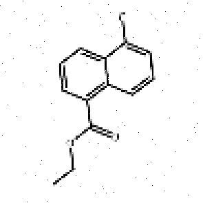 CCOC(=O)c1cccc2c(F)cccc12